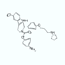 Nc1ccc(OC(=O)N2CCc3c([nH]c4ccc(Cl)cc34)[C@@H]2c2ccc(OCCCNC3CCCC3)cc2)cc1